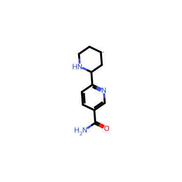 NC(=O)c1ccc(C2C[CH]CCN2)nc1